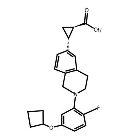 O=C(O)[C@@H]1C[C@H]1c1ccc2c(c1)CCN(c1cc(OC3CCC3)ccc1F)C2